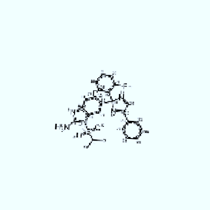 CC(C)S(=O)(=O)n1c(N)nc2ccc(C3(c4c(F)cccc4F)N=CC(c4ccccc4)=N3)cc21